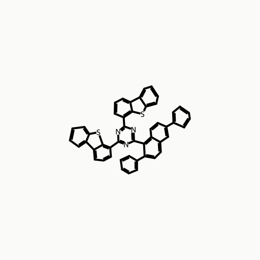 c1ccc(-c2ccc3c(-c4nc(-c5cccc6c5sc5ccccc56)nc(-c5cccc6c5sc5ccccc56)n4)c(-c4ccccc4)ccc3c2)cc1